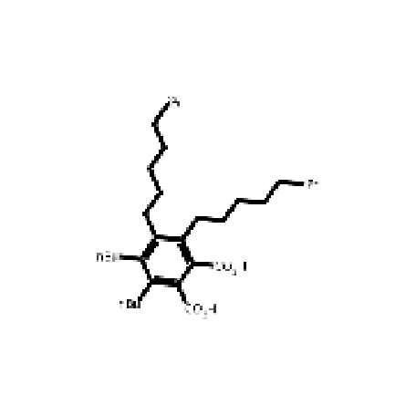 CCCCc1c(CCCCCC(C)C)c(CCCCCC(C)C)c(C(=O)O)c(C(=O)O)c1CCCC